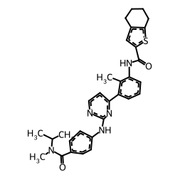 Cc1c(NC(=O)c2cc3c(s2)CCCC3)cccc1-c1ccnc(Nc2ccc(C(=O)N(C)C(C)C)cc2)n1